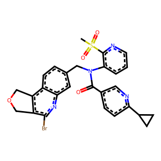 CS(=O)(=O)c1ncccc1N(Cc1ccc2c3c(c(Br)nc2c1)COC3)C(=O)c1ccc(C2CC2)nc1